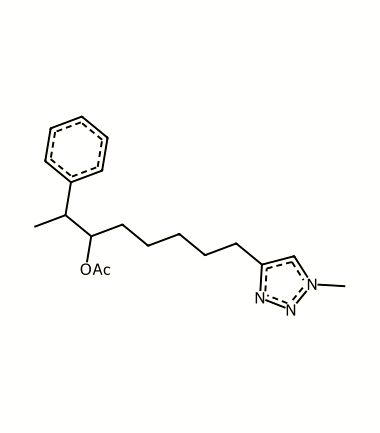 CC(=O)OC(CCCCCc1cn(C)nn1)C(C)c1ccccc1